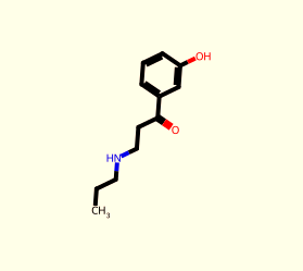 CCCNCCC(=O)c1cccc(O)c1